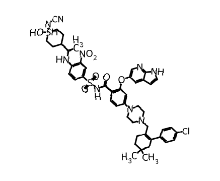 CC(Nc1ccc(S(=O)(=O)NC(=O)c2ccc(N3CCN(CC4=C(c5ccc(Cl)cc5)CC(C)(C)CC4)CC3)cc2Oc2cnc3[nH]ccc3c2)cc1[N+](=O)[O-])C1CC[SH](O)(=NC#N)CC1